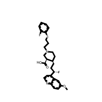 COc1ccc2nccc([C@@H](F)CC[C@@H]3CCN(CCCSc4ccccc4F)C[C@@H]3C(=O)O)c2c1